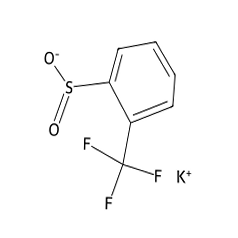 O=S([O-])c1ccccc1C(F)(F)F.[K+]